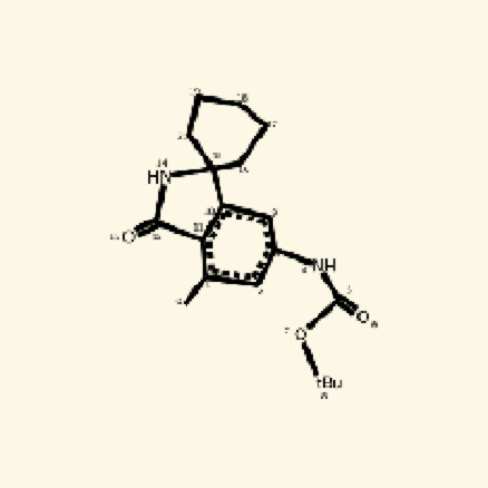 Cc1cc(NC(=O)OC(C)(C)C)cc2c1C(=O)NC21CCCCC1